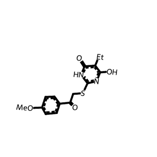 CCc1c(O)nc(SCC(=O)c2ccc(OC)cc2)[nH]c1=O